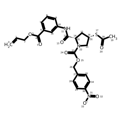 C=CCOC(=O)c1cccc(NC(=O)[C@@H]2C[C@H](SC(C)=O)CN2C(=O)OCc2ccc([N+](=O)[O-])cc2)c1